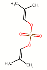 CC(C)=COS(=O)(=O)OC=C(C)C